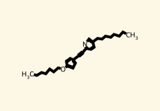 CCCCCCCCc1ccc(C#Cc2ccc(OCCCCCCC)cc2)nc1